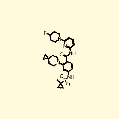 CC1(S(=O)(=O)Nc2ccc(C(=O)Nc3cccc(N4CCC(F)CC4)n3)c(N3CCC4(CC3)CC4)c2)CC1